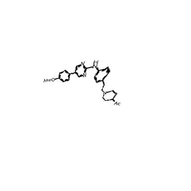 COc1ccc(-c2cnc(Nc3ccc(CCN4CCC(C(C)=O)CC4)cc3)nc2)cc1